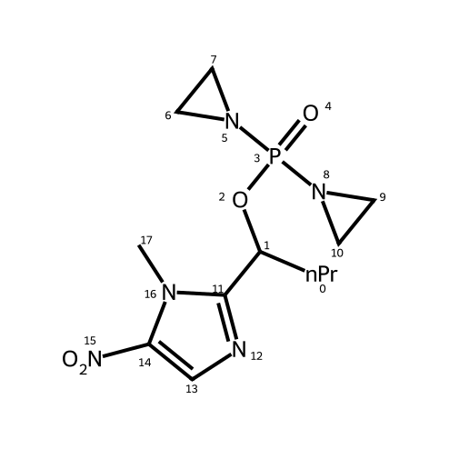 CCCC(OP(=O)(N1CC1)N1CC1)c1ncc([N+](=O)[O-])n1C